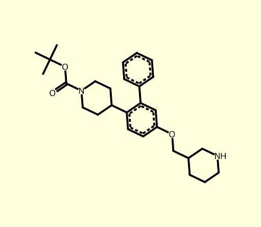 CC(C)(C)OC(=O)N1CCC(c2ccc(OCC3CCCNC3)cc2-c2ccccc2)CC1